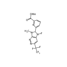 COC(=O)c1cccc(C2N(C)c3nnc(C(F)(F)C(F)(F)F)cc3N2F)n1